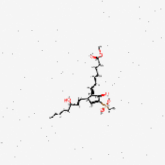 CCCCCC(O)/C=C/C1C=C(S(=O)(=O)CC)C(=O)/C1=C\CCCCCC(=O)OC